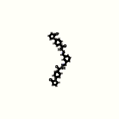 O=C(N/N=C/c1cccc(/C=N/NC(=O)c2ccc(N3CCCC3=O)cc2)c1)c1ccc(N2CCCC2=O)cc1